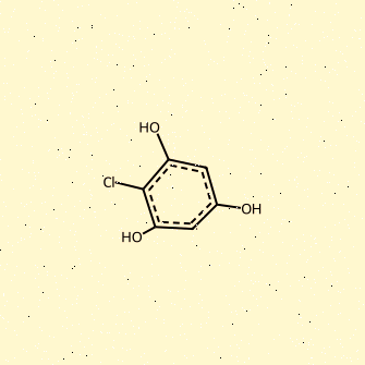 Oc1[c]c(O)c(Cl)c(O)c1